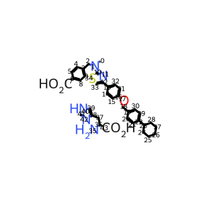 CN(Cc1ccc(C(=O)O)cc1)c1nc(-c2ccc(OCc3ccc(C4CCCCC4)cc3)cc2)cs1.N[C@@H](Cc1c[nH]cn1)C(=O)O